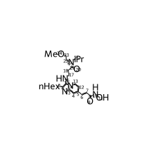 CCCCCCc1nc2cc(/C=C/C(=O)NO)ccn2c1NCCC(=O)N(CCOC)C(C)C